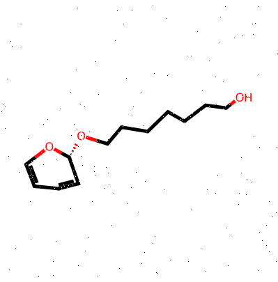 OCCCCCCCO[C@@H]1C=CC=CO1